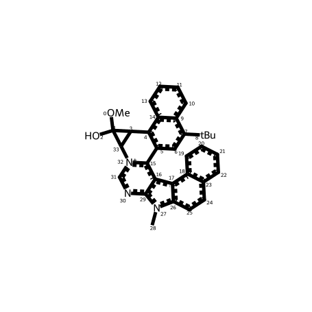 COC1(O)C2c3c(cc(C(C)(C)C)c4ccccc34)-c3c4c5c6ccccc6ccc5n(C)c4nc[n+]3C21